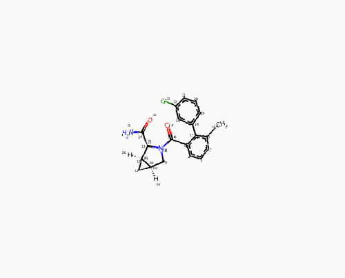 Cc1cccc(C(=O)N2C[C@H]3C[C@H]3[C@H]2C(N)=O)c1-c1cccc(Cl)c1